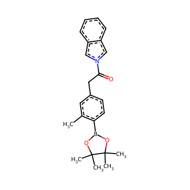 Cc1cc(CC(=O)n2cc3ccccc3c2)ccc1B1OC(C)(C)C(C)(C)O1